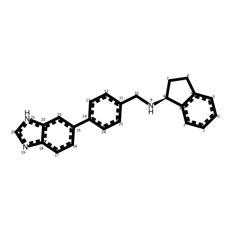 c1ccc2c(c1)CC[C@@H]2NCc1ccc(-c2ccc3nc[nH]c3c2)cc1